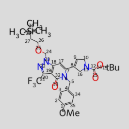 COc1ccc(Cn2c(C3=CCN(C(=O)OC(C)(C)C)C3)cc3c(c(C(F)(F)F)nn3COCC[Si](C)(C)C)c2=O)cc1